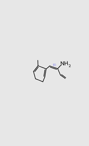 C=C/C(N)=C\C1=CCCC=C1C